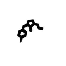 C=CCC1CCC(=Cc2ccc(F)cc2)C1=O